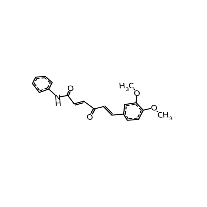 COc1ccc(/C=C/C(=O)/C=C/C(=O)Nc2ccccc2)cc1OC